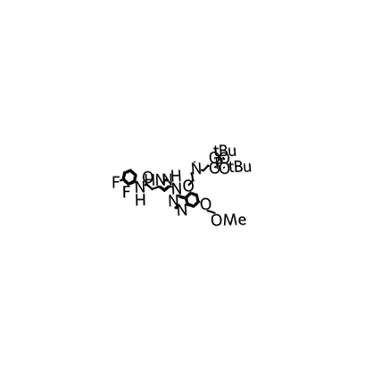 COCCOc1cc(OCCN(C)CCOP(=O)(OC(C)(C)C)OC(C)(C)C)c2c(Nc3cc(CC(=O)Nc4cccc(F)c4F)[nH]n3)ncnc2c1